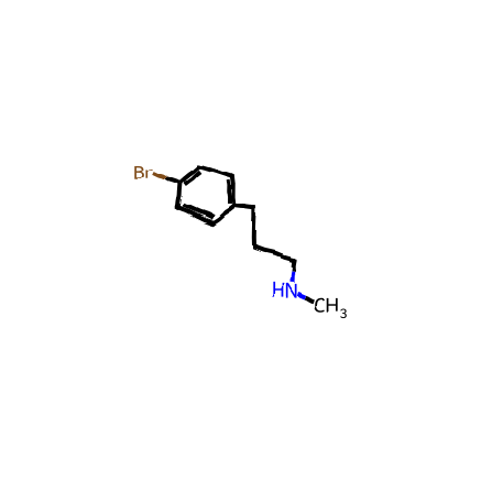 CNCCCc1ccc(Br)cc1